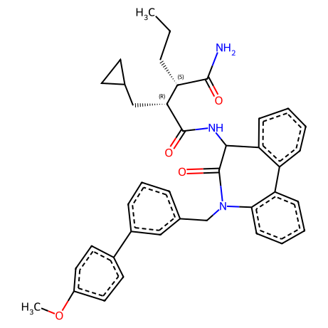 CCC[C@H](C(N)=O)[C@@H](CC1CC1)C(=O)NC1C(=O)N(Cc2cccc(-c3ccc(OC)cc3)c2)c2ccccc2-c2ccccc21